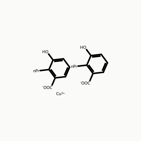 CCCc1c(O)cccc1C(=O)[O-].CCCc1c(O)cccc1C(=O)[O-].[Cu+2]